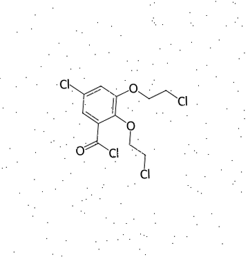 O=C(Cl)c1cc(Cl)cc(OCCCl)c1OCCCl